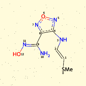 CS/C=C/Nc1nonc1/C(N)=N/O